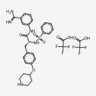 N=C(N)c1cccc(NC(=O)[C@H](Cc2ccc(OC3CCNCC3)cc2)NS(=O)(=O)c2ccccc2)c1.O=C(O)C(F)(F)F.O=C(O)C(F)(F)F